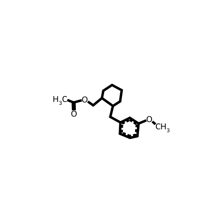 COc1cccc(CC2CCCCC2COC(C)=O)c1